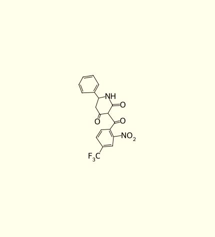 O=C1CC(c2ccccc2)NC(=O)C1C(=O)c1ccc(C(F)(F)F)cc1[N+](=O)[O-]